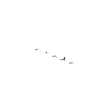 CCN(CC)/[N+]([O-])=N/OCOC(=O)OC(C)C